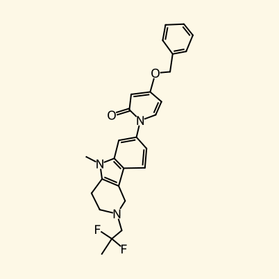 Cn1c2c(c3ccc(-n4ccc(OCc5ccccc5)cc4=O)cc31)CN(CC(C)(F)F)CC2